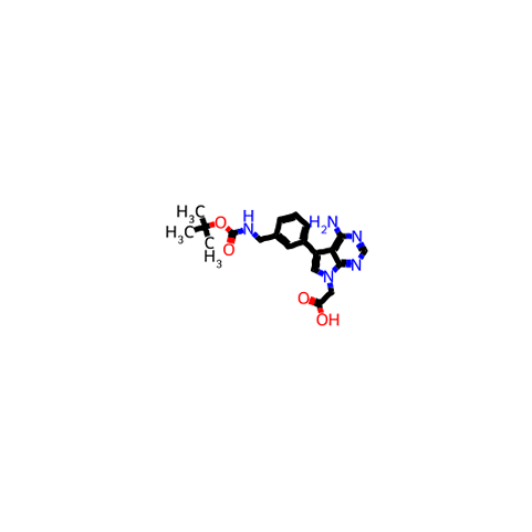 CC(C)(C)OC(=O)NCc1cccc(-c2cn(CC(=O)O)c3ncnc(N)c23)c1